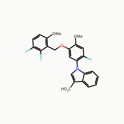 COc1cc(F)c(-n2cc(C(=O)O)c3ccccc32)cc1OCc1c(OC)ccc(F)c1F